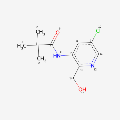 CC(C)(C)C(=O)Nc1cc(Cl)cnc1CO